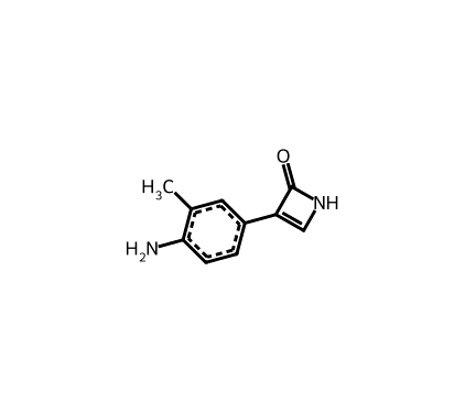 Cc1cc(C2=CNC2=O)ccc1N